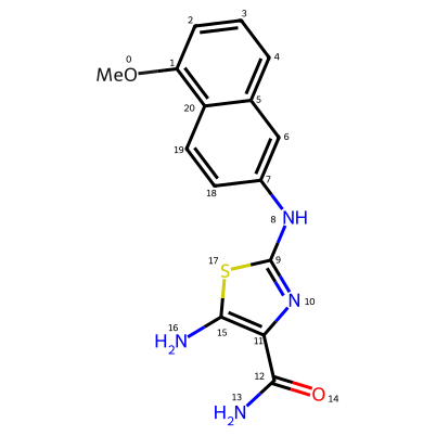 COc1cccc2cc(Nc3nc(C(N)=O)c(N)s3)ccc12